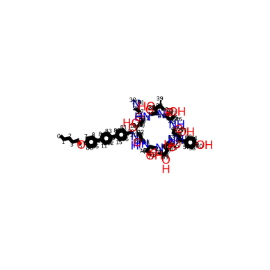 CCCCCOc1ccc(-c2ccc(-c3ccc(C(=O)N[C@H]4C[C@@H](O)[C@@H](OCCN(C)C)NC(=O)C5[C@@H](O)[C@@H](C)CN5C(=O)C([C@@H](C)O)NC(=O)C([C@H](O)[C@@H](O)c5ccc(O)cc5)NC(=O)C5C[C@@H](O)CN5C(=O)C([C@@H](C)O)NC4=O)cc3)cc2)cc1